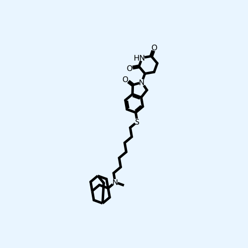 CN(CCCCCCCSc1ccc2c(c1)CN(C1CCC(=O)NC1=O)C2=O)C12CC3CC(CC(C3)C1)C2